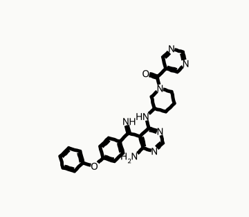 N=C(c1ccc(Oc2ccccc2)cc1)c1c(N)ncnc1NC1CCCN(C(=O)c2cncnc2)C1